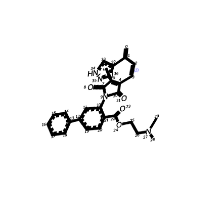 C=C(/C=C\C1=C(C)C(=O)N(c2cc(-c3ccccc3)ccc2C(=O)OCCN(C)C)C1=O)c1c[nH]nn1